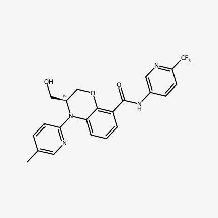 Cc1ccc(N2c3cccc(C(=O)Nc4ccc(C(F)(F)F)nc4)c3OC[C@@H]2CO)nc1